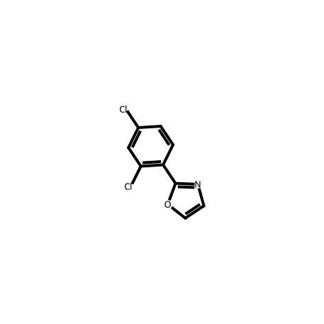 Clc1ccc(-c2ncco2)c(Cl)c1